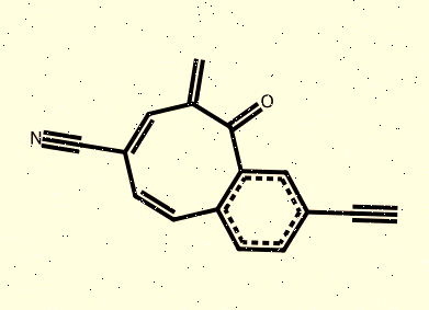 C#Cc1ccc2c(c1)C(=O)C(=C)/C=C(C#N)\C=C/2